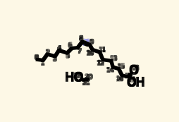 CCCCCCCC/C=C\CCCCCCCC(=O)O.CCO